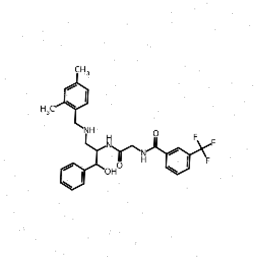 Cc1ccc(CNCC(NC(=O)CNC(=O)c2cccc(C(F)(F)F)c2)C(O)c2ccccc2)c(C)c1